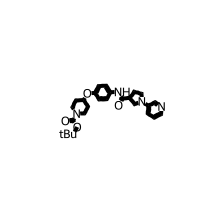 CC(C)(C)OC(=O)N1CCC(Oc2ccc(NC(=O)C3CCN(c4cccnc4)C3)cc2)CC1